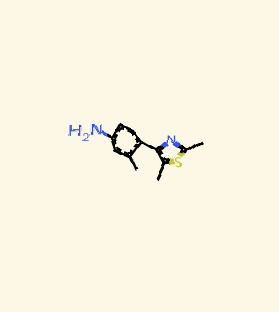 Cc1nc(-c2ccc(N)cc2C)c(C)s1